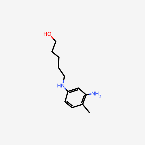 Cc1ccc(NCCCCCO)cc1N